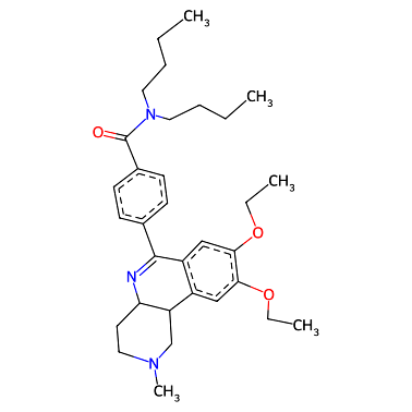 CCCCN(CCCC)C(=O)c1ccc(C2=NC3CCN(C)CC3c3cc(OCC)c(OCC)cc32)cc1